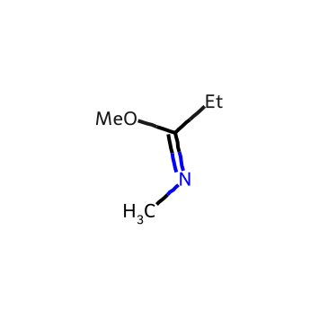 CCC(=NC)OC